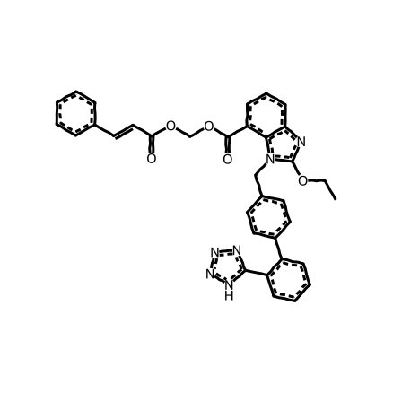 CCOc1nc2cccc(C(=O)OCOC(=O)C=Cc3ccccc3)c2n1Cc1ccc(-c2ccccc2-c2nnn[nH]2)cc1